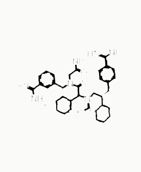 N=C(N)c1ccc(C[C@H](CN(C(=O)C(F)(F)F)C(C(=O)N(CC(N)=O)Cc2cccc(C(=N)N)c2)C2CCCCC2)C2CCCCC2)cc1